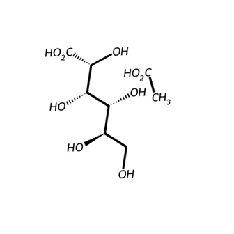 CC(=O)O.O=C(O)[C@H](O)[C@@H](O)[C@H](O)[C@H](O)CO